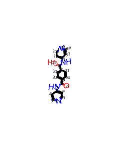 O=C(Nc1ccncc1)c1ccc(C(O)Nc2ccncc2)cc1